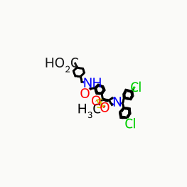 CS(=O)(=O)C(=C1CN(C(c2ccc(Cl)cc2)c2ccc(Cl)cc2)C1)c1cccc(C(=O)NCC2CCC(C(=O)O)CC2)c1